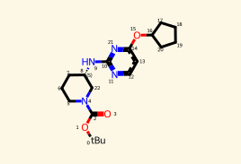 CC(C)(C)OC(=O)N1CCC[C@H](Nc2nccc(OC3CCCC3)n2)C1